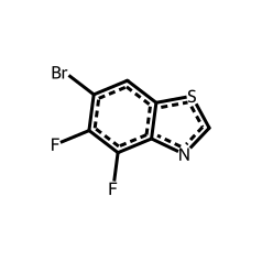 Fc1c(Br)cc2scnc2c1F